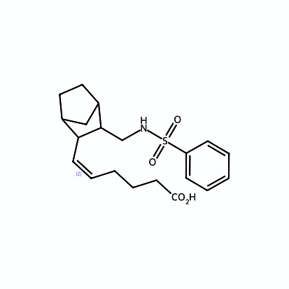 O=C(O)CCC/C=C\C1C2CCC(C2)C1CNS(=O)(=O)c1ccccc1